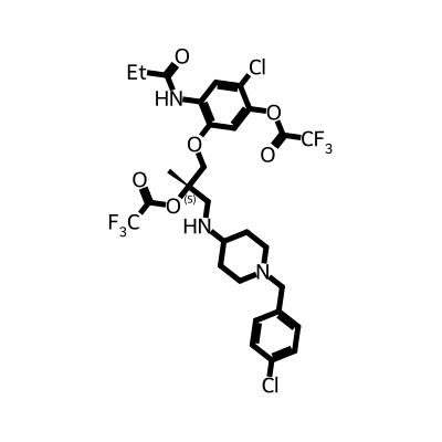 CCC(=O)Nc1cc(Cl)c(OC(=O)C(F)(F)F)cc1OC[C@](C)(CNC1CCN(Cc2ccc(Cl)cc2)CC1)OC(=O)C(F)(F)F